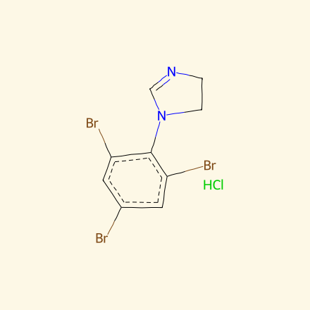 Brc1cc(Br)c(N2C=NCC2)c(Br)c1.Cl